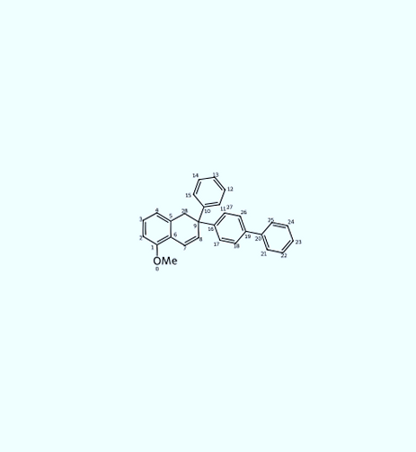 COc1cccc2c1C=CC(c1ccccc1)(c1ccc(-c3ccccc3)cc1)C2